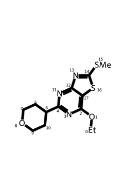 CCOc1nc(C2CCOCC2)nc2nc(SC)sc12